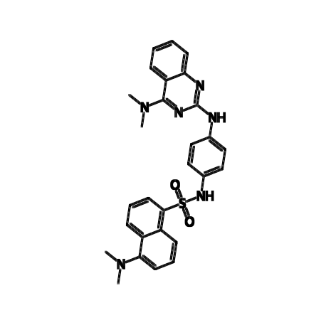 CN(C)c1nc(Nc2ccc(NS(=O)(=O)c3cccc4c(N(C)C)cccc34)cc2)nc2ccccc12